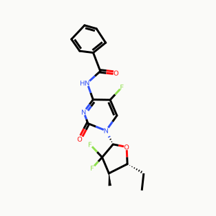 CC[C@H]1O[C@@H](n2cc(F)c(NC(=O)c3ccccc3)nc2=O)C(F)(F)[C@@H]1C